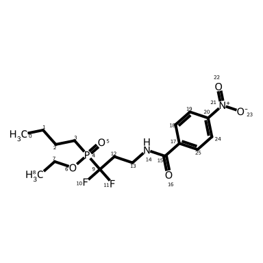 CCCCP(=O)(OCC)C(F)(F)CCNC(=O)c1ccc([N+](=O)[O-])cc1